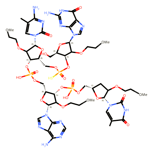 COCCOC1C[C@@H](COP(=O)(O)O[C@@H]2C(OCCOC)[C@H](n3cnc4c(N)ncnc43)O[C@@H]2COP(=O)(O)O[C@@H]2C(OCCOC)[C@H](n3cc(C)c(N)nc3=O)O[C@@H]2COP(=O)(S)O[C@@H]2C(OCCOC)[C@H](n3cnc4c(=O)[nH]c(N)nc43)O[C@@H]2CO)O[C@H]1n1cc(C)c(=O)[nH]c1=O